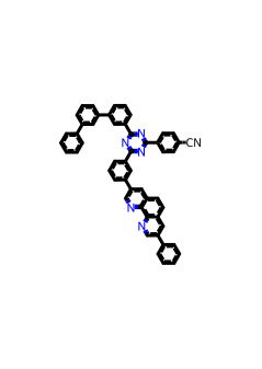 N#Cc1ccc(-c2nc(-c3cccc(-c4cccc(-c5ccccc5)c4)c3)nc(-c3cccc(-c4cnc5c(ccc6cc(-c7ccccc7)cnc65)c4)c3)n2)cc1